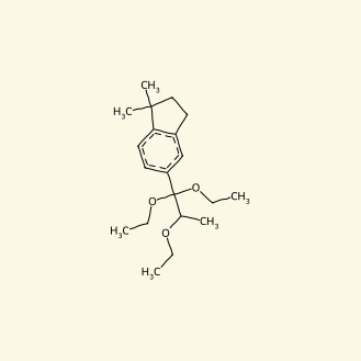 CCOC(C)C(OCC)(OCC)c1ccc2c(c1)CCC2(C)C